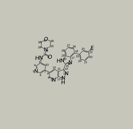 O=C(Nc1cncc(-c2cnc3[nH]nc(-c4nc5c(-c6cccc(F)c6)cccc5[nH]4)c3c2)c1)N1CCOCC1